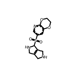 O=S(=O)(c1cnc2c(c1)OCCO2)C1NCC2=C1CNC2